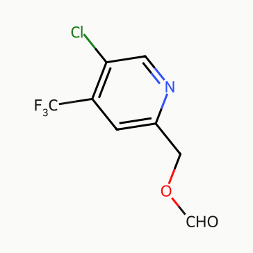 O=COCc1cc(C(F)(F)F)c(Cl)cn1